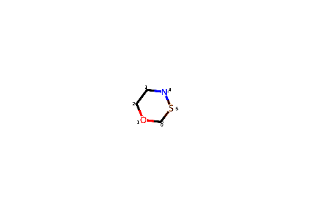 [CH]1OCC[N]S1